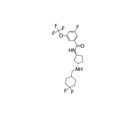 O=C(N[C@H]1CC[C@H](NCC2CCC(F)(F)CC2)C1)c1cc(F)cc(OC(F)(F)F)c1